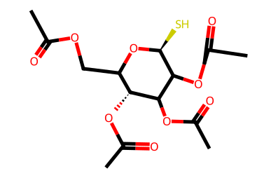 CC(=O)OCC1O[C@@H](S)C(OC(C)=O)C(OC(C)=O)[C@@H]1OC(C)=O